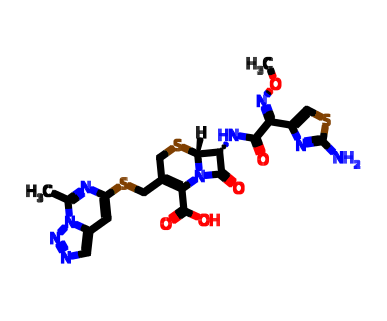 CON=C(C(=O)N[C@@H]1C(=O)N2C(C(=O)O)=C(CSc3cc4cnnn4c(C)n3)CS[C@H]12)c1csc(N)n1